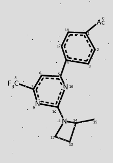 CC(=O)c1ccc(-c2cc(C(F)(F)F)nc(N3CCC3C)n2)cc1